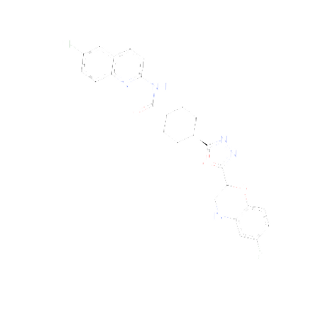 O=C(Nc1ccc2cc(Cl)ccc2n1)[C@H]1CC[C@H](c2nnc(C3CNc4cc(Cl)ccc4O3)o2)CC1